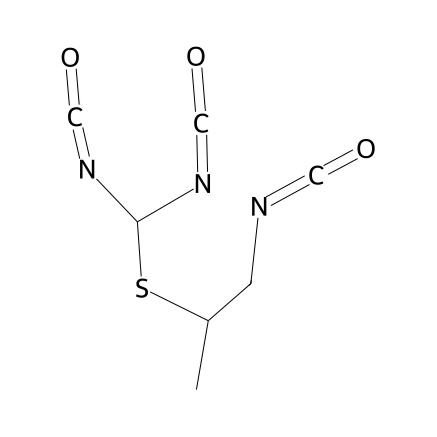 CC(CN=C=O)SC(N=C=O)N=C=O